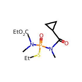 CCOC(=O)N(C)P(=O)(SCC)N(C)C(=O)C1CC1